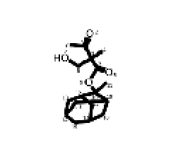 CC(=O)C(C)(CO)C(=O)OC1(C)C2CC3CC(C2)CC1C3